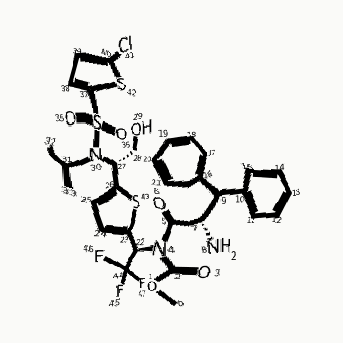 COC(=O)N(C(=O)[C@@H](N)C(c1ccccc1)c1ccccc1)[C@H](c1ccc([C@@H](CO)N(C(C)C)S(=O)(=O)c2ccc(Cl)s2)s1)C(F)(F)F